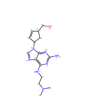 CN(C)CCNc1nc(N)nc2c1ncn2C1C=CC(CO)C1